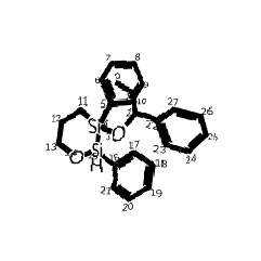 CCC(O[Si]1(c2ccccc2)CCCO[SiH]1c1ccccc1)c1ccccc1